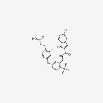 Cc1cc(Oc2ccc(C(F)(F)F)c(CNC(=O)c3cc4cc(Cl)ccc4[nH]3)c2)ccc1CCC(=O)O